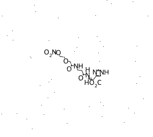 O=C(COCCO[N+](=O)[O-])NCCC(=O)N[C@@H](Cc1c[nH]cn1)C(=O)O